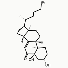 CC(C)CCC[C@@H](C)[C@@H]1CC[C@H]2C3=CC(=O)[C@@]4(O)C[C@@H](O)CC[C@]4(C)[C@H]3CC[C@@]21C